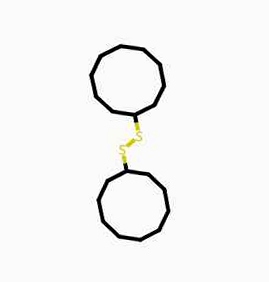 C1CCCCC(SSC2CCCCCCCCC2)CCCC1